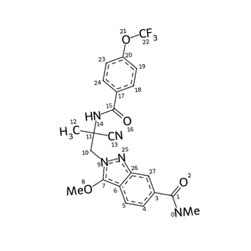 CNC(=O)c1ccc2c(OC)n(CC(C)(C#N)NC(=O)c3ccc(OC(F)(F)F)cc3)nc2c1